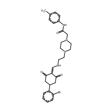 Cc1ccc(NC(=O)CN2CCN(CCNC=C3C(=O)CC(c4ccccc4Br)CC3=O)CC2)cc1